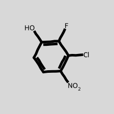 O=[N+]([O-])c1ccc(O)c(F)c1Cl